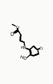 COC(=O)C=CCNc1cc(Cl)ccc1O